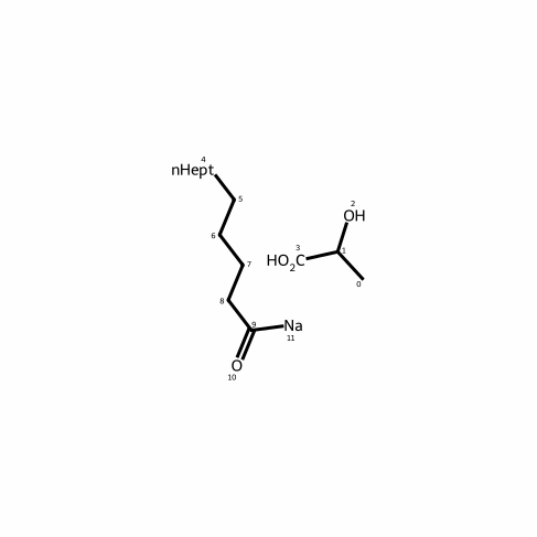 CC(O)C(=O)O.CCCCCCCCCCC[C](=O)[Na]